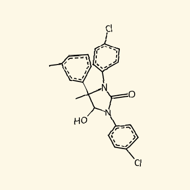 Cc1cccc(C2(C)C(O)N(c3ccc(Cl)cc3)C(=O)N2c2ccc(Cl)cc2)c1